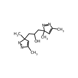 CC1=CC(C)(CC(O)CC2(C)C=C(C)N=N2)N=N1